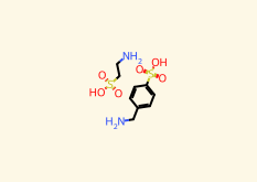 NCCS(=O)(=O)O.NCc1ccc(S(=O)(=O)O)cc1